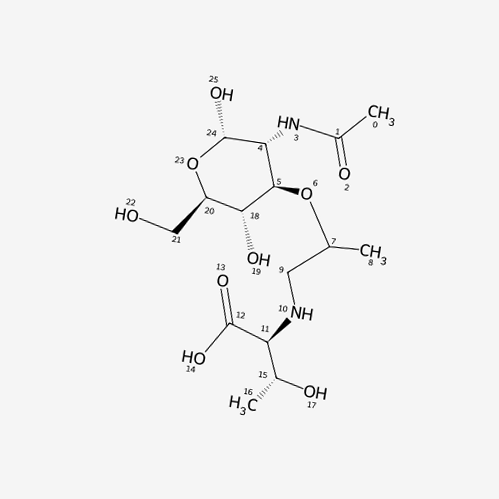 CC(=O)N[C@@H]1[C@@H](OC(C)CN[C@H](C(=O)O)[C@@H](C)O)[C@H](O)[C@@H](CO)O[C@@H]1O